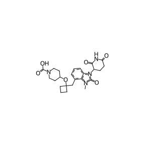 Cn1c(=O)n(C2CCC(=O)NC2=O)c2cccc(CC3(OC4CCN(C(=O)O)CC4)CCC3)c21